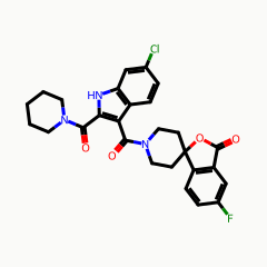 O=C1OC2(CCN(C(=O)c3c(C(=O)N4CCCCC4)[nH]c4cc(Cl)ccc34)CC2)c2ccc(F)cc21